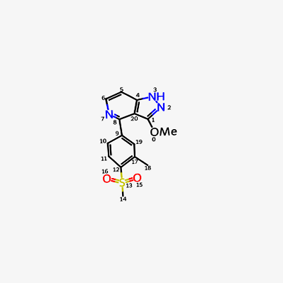 COc1n[nH]c2ccnc(-c3ccc(S(C)(=O)=O)c(C)c3)c12